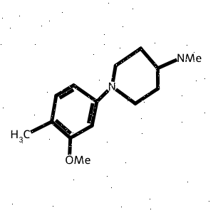 CNC1CCN(c2ccc(C)c(OC)c2)CC1